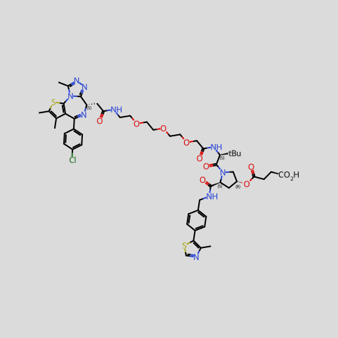 Cc1ncsc1-c1ccc(CNC(=O)[C@@H]2C[C@@H](OC(=O)CCC(=O)O)CN2C(=O)[C@@H](NC(=O)COCCOCCOCCNC(=O)C[C@@H]2N=C(c3ccc(Cl)cc3)c3c(sc(C)c3C)-n3c(C)nnc32)C(C)(C)C)cc1